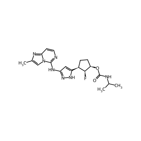 Cc1cn2c(Nc3cc([C@H]4CC[C@@H](OC(=O)NC(C)C)[C@H]4F)[nH]n3)nccc2n1